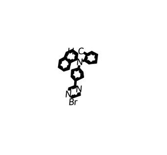 Cc1ccccc1N(c1ccc(-c2cnc(Br)cn2)cc1)c1cccc2ccccc12